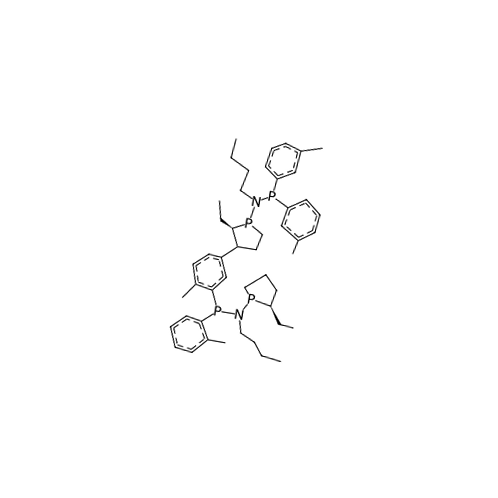 CCCCN(P(c1ccccc1C)c1cc(C2CCP(N(CCCC)P(c3cccc(C)c3)c3cccc(C)c3)[C@@H]2CC)ccc1C)P1CCC[C@H]1CC